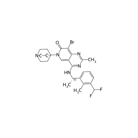 Cc1nc(N[C@@H](C)c2cccc(C(F)F)c2C)c2cn(C34CCN(CC3)CC4)c(=O)c(Br)c2n1